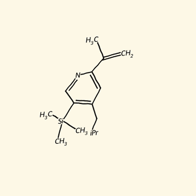 C=C(C)c1cc(CC(C)C)c([Si](C)(C)C)cn1